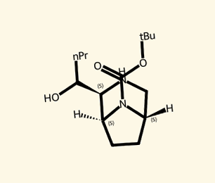 CCCC(O)[C@H]1NC[C@@H]2CC[C@@H]1N2C(=O)OC(C)(C)C